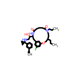 C#Cc1cccc(C2(NCC(O)C3Cc4cc(F)cc(c4)OCC(CCC)CCN(CCC)C(=O)CCCC(=O)N3)CC2)c1